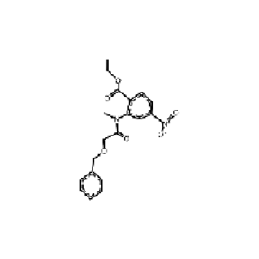 CCOC(=O)c1ccc([N+](=O)[O-])cc1N(C)C(=O)COCc1ccccc1